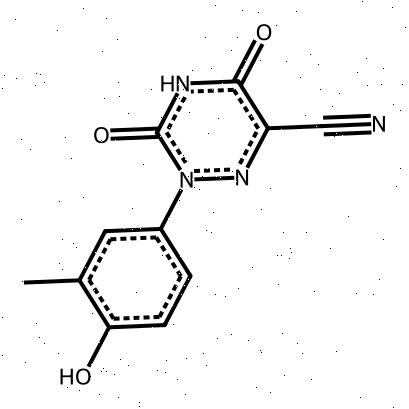 Cc1cc(-n2nc(C#N)c(=O)[nH]c2=O)ccc1O